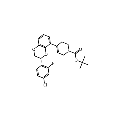 CC(C)(C)OC(=O)N1CC=C(c2cccc3c2O[C@H](c2ccc(Cl)cc2F)CO3)CC1